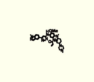 C=CC(=O)Nc1cc(Nc2cc(-c3ccc4c(cnn4C)c3)ncn2)c(OC)cc1N(C)C1CCC(N2CCN(C)CC2)CC1